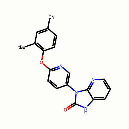 CC(C)(C)c1cc(C#N)ccc1Oc1ccc(-n2c(=O)[nH]c3cccnc32)cn1